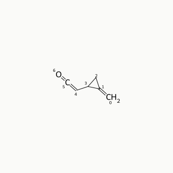 C=C1CC1C=C=O